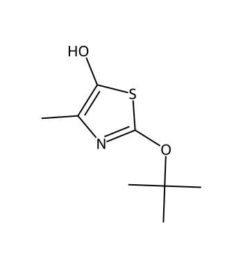 Cc1nc(OC(C)(C)C)sc1O